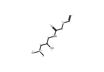 C=COCC(=O)NCC(O)CN(C)CC